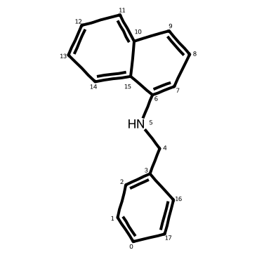 c1ccc(CNc2cccc3ccccc23)cc1